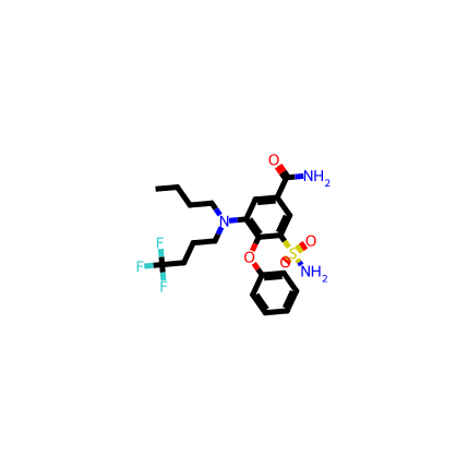 CCCCN(CCCC(F)(F)F)c1cc(C(N)=O)cc(S(N)(=O)=O)c1Oc1ccccc1